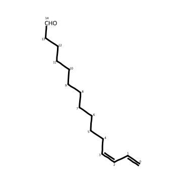 C=C/C=C\CCCCCCCCCCC=O